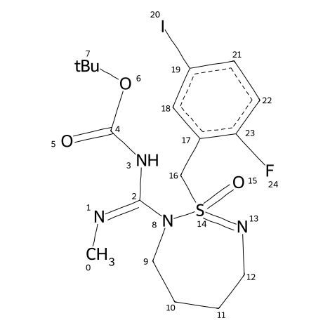 C/N=C(/NC(=O)OC(C)(C)C)N1CCCCN=S1(=O)Cc1cc(I)ccc1F